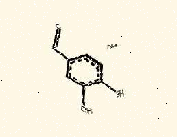 O=Cc1ccc(S)c(O)c1.[Na]